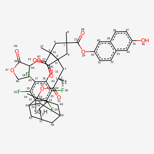 CCC(C)(CC(C)(CC(C)(CC(C)(C)C(=O)Oc1c(F)c(F)c(S(=O)(=O)O)c(F)c1F)C(=O)Oc1ccc2cc(O)ccc2c1)C(=O)OC1CCOC1=O)C(=O)OC1(C)C2CC3CC(C2)CC1C3